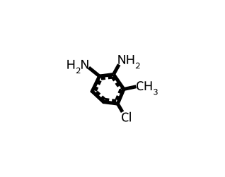 Cc1c(Cl)ccc(N)c1N